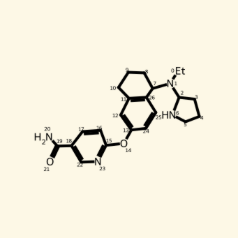 CCN(C1CCCN1)C1CCCc2cc(Oc3ccc(C(N)=O)cn3)ccc21